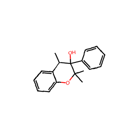 CC1c2ccccc2OC(C)(C)C1(O)c1ccccc1